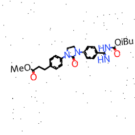 COC(=O)CCc1ccc(N2CCN(c3ccc(C(=N)NC(=O)OCC(C)C)cc3)C2=O)cc1